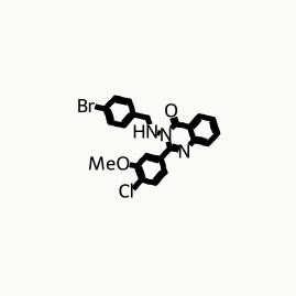 COc1cc(-c2nc3ccccc3c(=O)n2NCc2ccc(Br)cc2)ccc1Cl